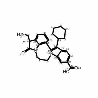 C[C@@]1(CN)C(=O)N2CCCn3c(c(C4CCCCC4)c4ccc(C(=O)O)cc43)-c3cccc1c32